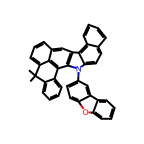 CC1(C)c2ccccc2-c2c3c1cccc3cc1c3c4ccccc4ccc3n(-c3ccc4oc5ccccc5c4c3)c21